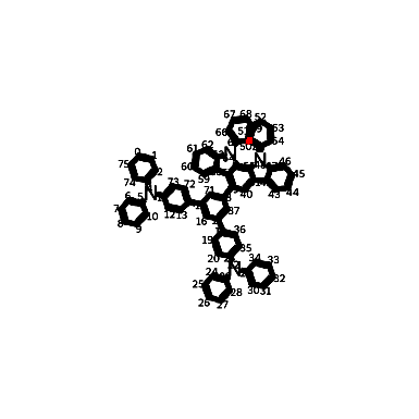 c1ccc(N(c2ccccc2)c2ccc(-c3cc(-c4ccc(N(c5ccccc5)c5ccccc5)cc4)cc(-c4cc5c6ccccc6n(-c6ccccc6)c5c5c4c4ccccc4n5-c4ccccc4)c3)cc2)cc1